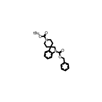 CC(C)(C)OC(=O)N1CCC2(CC1)CN(C(=O)OCc1ccccc1)c1ccccc12